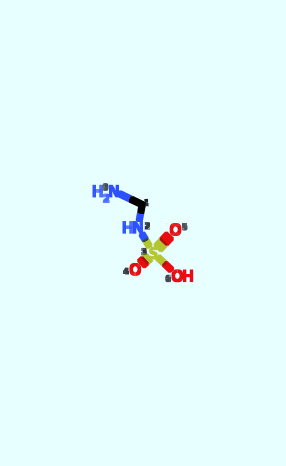 NCNS(=O)(=O)O